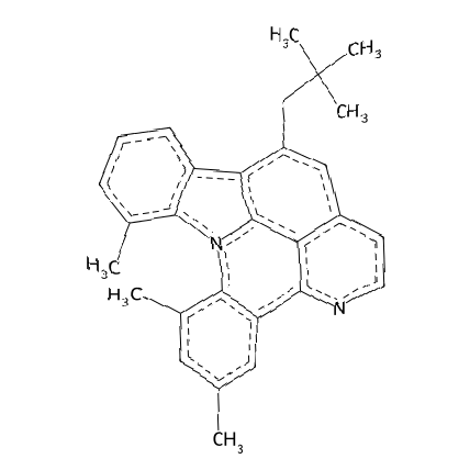 Cc1cc(C)c2c(c1)c1nccc3cc(CC(C)(C)C)c4c5cccc(C)c5n2c4c31